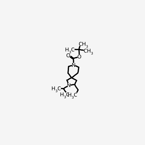 CCC1CC2(CCN(C(=O)OC(C)(C)C)CC2)CN1C(C)C